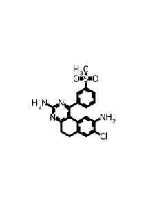 CS(=O)(=O)c1cccc(-c2nc(N)nc3c2-c2cc(N)c(Cl)cc2CC3)c1